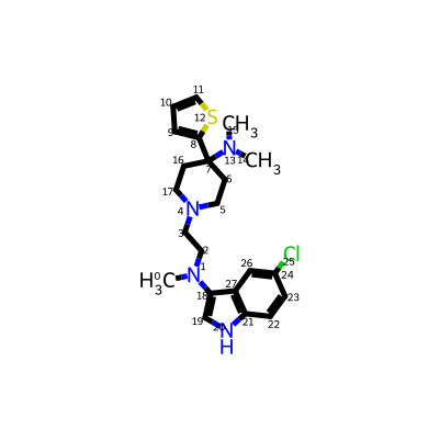 CN(CCN1CCC(c2cccs2)(N(C)C)CC1)c1c[nH]c2ccc(Cl)cc12